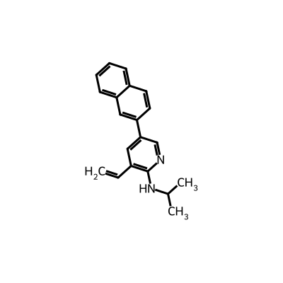 C=Cc1cc(-c2ccc3ccccc3c2)cnc1NC(C)C